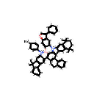 CC(C)(C)c1ccc(N2B3c4cc5occ(-c6ccccc6)c5cc4-n4c5cc6c(cc5c5c7c(c(c3c54)-c3cc4c(cc32)C(C)(C)c2ccccc2-4)CCc2ccccc2-7)C(C)(C)CCC6(C)C)cc1